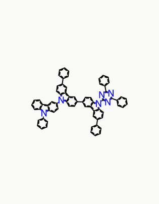 c1ccc(-c2ccc3c(c2)c2cc(-c4ccc5c(c4)c4cc(-c6ccccc6)ccc4n5-c4nc(-c5ccccc5)nc(-c5ccccc5)n4)ccc2n3-c2ccc3c(c2)c2ccccc2n3-c2ccccc2)cc1